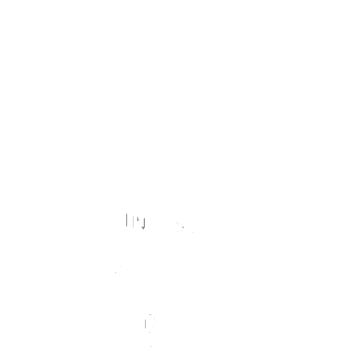 CC(=O)NSc1ccc(C)cc1